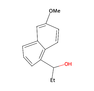 CCC(O)c1cccc2cc(OC)ccc12